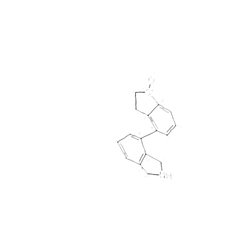 [O-][S+]1CCc2c(-c3cccc4c3CNC4)cccc21